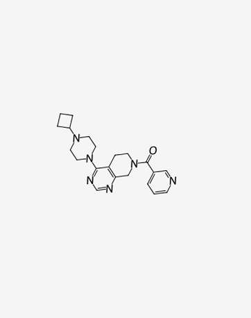 O=C(c1cccnc1)N1CCc2c(ncnc2N2CCN(C3CCC3)CC2)C1